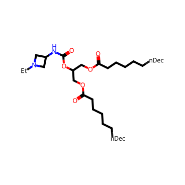 CCCCCCCCCCCCCCCC(=O)OCC(COC(=O)CCCCCCCCCCCCCCC)OC(=O)NC1CN(CC)C1